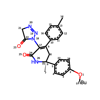 CCCCOc1ccc([C@]2(C)CC(c3ccc(C)cc3)=C(N3N=NCC3=O)C(=O)N2)cc1